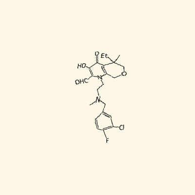 CCC1(C)COCc2c1c(=O)c(O)c(C=O)n2CCN(C)Cc1ccc(F)c(Cl)c1